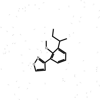 CCC(C)c1cccc(-c2ccon2)c1OC